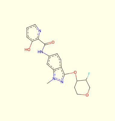 Cn1nc(OC2CCOCC2F)c2ccc(NC(=O)c3ncccc3O)cc21